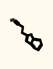 C#CCCc1cc2ccccc2o1